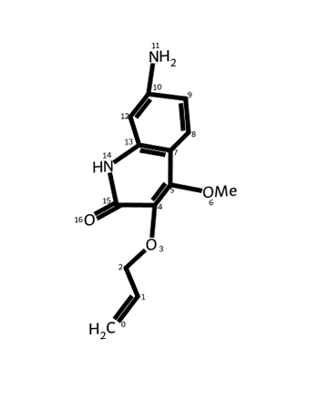 C=CCOc1c(OC)c2ccc(N)cc2[nH]c1=O